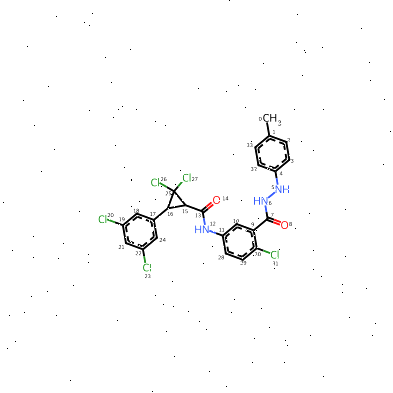 Cc1ccc(NNC(=O)c2cc(NC(=O)C3C(c4cc(Cl)cc(Cl)c4)C3(Cl)Cl)ccc2Cl)cc1